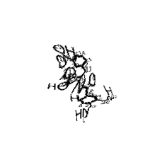 CNCc1ccc(C(=O)NC2Cc3cccc(C(=O)O)c3OB2O)cc1CNC